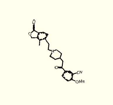 COc1ccc(C(=O)CC2CCN(CCc3ccc4c(c3C)COC4=O)CC2)cc1C#N